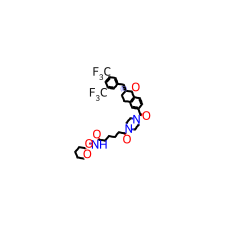 O=C(CCCCC(=O)N1CCN(C(=O)c2ccc3c(c2)CC/C(=C\c2cc(C(F)(F)F)cc(C(F)(F)F)c2)C3=O)CC1)NOC1CCCCO1